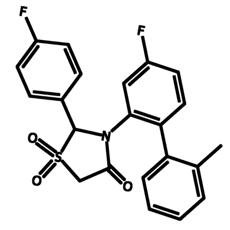 Cc1ccccc1-c1ccc(F)cc1N1C(=O)CS(=O)(=O)C1c1ccc(F)cc1